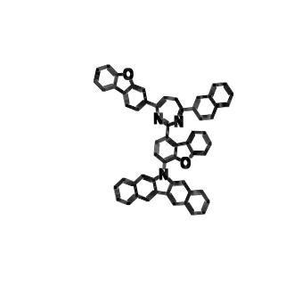 C1=C(c2ccc3c(c2)oc2ccccc23)N=C(c2ccc(-n3c4cc5ccccc5cc4c4cc5ccccc5cc43)c3oc4ccccc4c23)N=C(c2ccc3ccccc3c2)C1